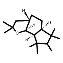 CC1C(C)(C)[C@H]2[C@H]3OC(C)(C)C[C@@H]3CC[C@H]2C1(C)C